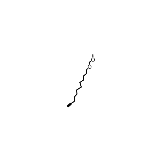 C#CCCCCCCCCCCOCOC